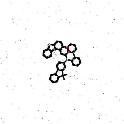 CC1(C)c2ccccc2-c2ccc(N(c3ccc4ccc5oc6ccccc6c5c4c3)c3ccccc3-c3ccccc3)cc21